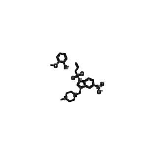 C=CCS(=O)(=O)n1cc(CN2CCN(C)CC2)c2cc([N+](=O)[O-])ccc21.COc1ccccc1Br